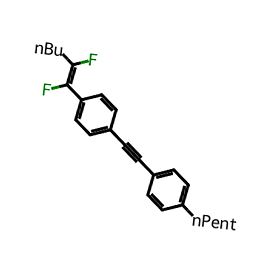 CCCCCc1ccc(C#Cc2ccc(C(F)=C(F)CCCC)cc2)cc1